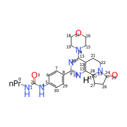 CCCNC(=O)Nc1ccc(-c2nc3c(c(N4CCOCC4)n2)CCN2C(=O)CC[C@@H]32)cc1